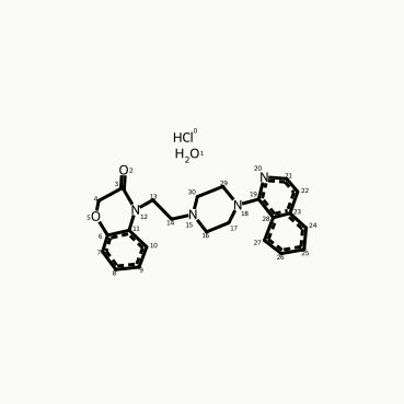 Cl.O.O=C1COc2ccccc2N1CCN1CCN(c2nccc3ccccc23)CC1